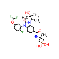 CC(n1c(=O)n(-c2cc(OC(F)F)ccc2F)c2ccc(C(=O)NC3(C)CS(O)(O)C3)cc21)C(C)(C)O